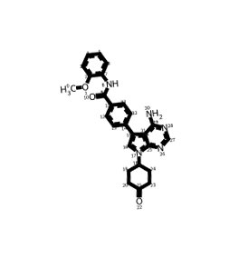 COc1ccccc1NC(=O)c1ccc(-c2cn(C3CCC(=O)CC3)c3ncnc(N)c23)cc1